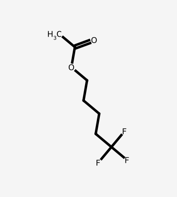 CC(=O)OCCCCC(F)(F)F